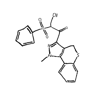 Cn1nc(C(=O)C(C#N)S(=O)(=O)c2ccccc2)c2c1-c1ccccc1SC2